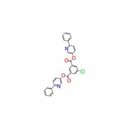 O=C(Oc1ccc(-c2ccccc2)nc1)c1cc(Cl)cc(C(=O)Oc2ccc(-c3ccccc3)nc2)c1